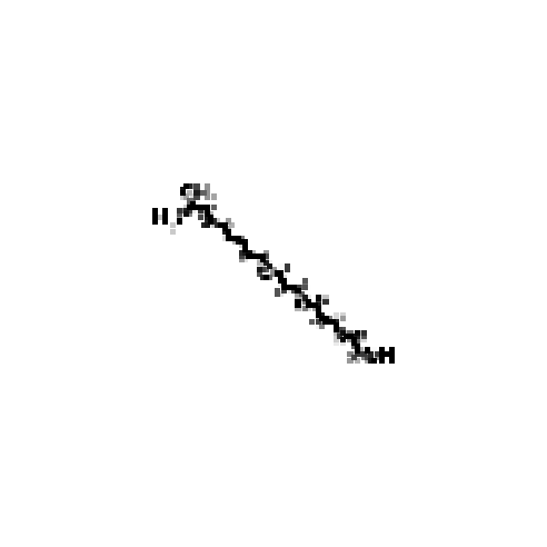 CC(C)CCCCCCCOCCCOCCCN=CCO